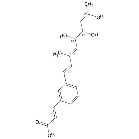 CC(/C=C/c1cccc(/C=C/C(=O)O)c1)=C\[C@H](O)[C@@H](O)C[C@H](C)O